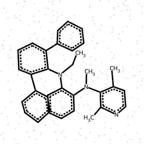 CCN(c1ccccc1N(C)c1c(C)ccnc1C)c1c(-c2ccccc2)cccc1-c1ccccc1